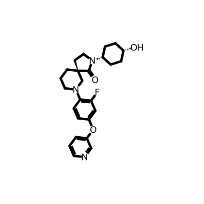 O=C1N([C@H]2CC[C@@H](O)CC2)CC[C@@]12CCCN(c1ccc(Oc3cccnc3)cc1F)C2